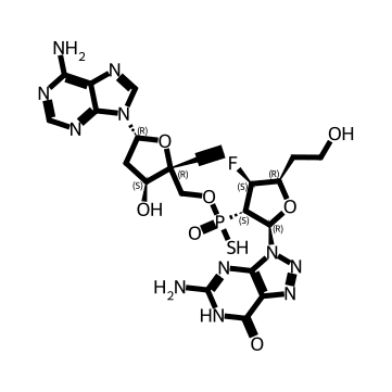 C#C[C@]1(COP(=O)(S)[C@@H]2[C@@H](F)[C@@H](CCO)O[C@H]2n2nnc3c(=O)[nH]c(N)nc32)O[C@@H](n2cnc3c(N)ncnc32)C[C@@H]1O